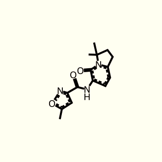 Cc1cc(C(=O)Nc2ccc3n(c2=O)C(C)(C)CC3)no1